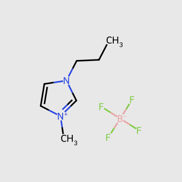 CCCn1cc[n+](C)c1.F[B-](F)(F)F